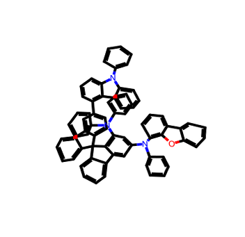 c1ccc(N(c2ccccc2)c2cc(N(c3ccccc3)c3cccc4c3oc3ccccc34)cc3c2C2(c4ccccc4-c4cc(-c5cccc6c5c5ccccc5n6-c5ccccc5)ccc42)c2ccccc2-3)cc1